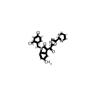 Cc1ccc2c(c1)c(C(=O)c1nnc(-c3ncccn3)o1)c(Cl)n2Cc1ccc(Cl)cc1Cl